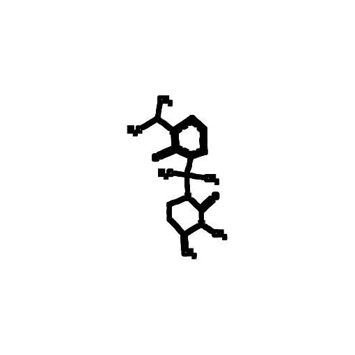 C=C1CCN(C(C)(C)c2cccn(C(C)C)c2=O)C(=O)N1C